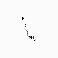 FCCCCCP